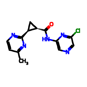 Cc1ccnc([C@H]2C[C@@H]2C(=O)Nc2cncc(Cl)n2)n1